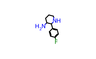 NC1CCCNC1c1ccc(F)cc1